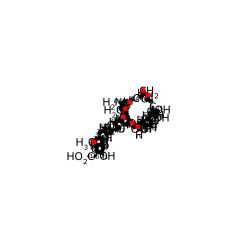 C=C1C[C@@H]2CC[C@]34OC5[C@@H]6O[C@H]7CC[C@H](CC(=O)O[C@@H]8CC9OC%10C[C@]%11(C[C@@H]%12O[C@@]%13(CC[C@@H]%12O%11)CC(C)[C@@H]%11O[C@H](CC(=O)O)[C@H](O)C[C@@H]%11O%13)O[C@@H]%10C[C@@H]9O[C@H]8C[C@H]8O[C@@H](CC[C@@H]1O2)C[C@@H](N)C8=C)O[C@@H]7[C@H](O3)[C@@H]6OC5(O)[C@H]4O